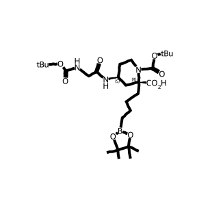 CC(C)(C)OC(=O)NCC(=O)N[C@H]1CCN(C(=O)OC(C)(C)C)[C@@](CCCCB2OC(C)(C)C(C)(C)O2)(C(=O)O)C1